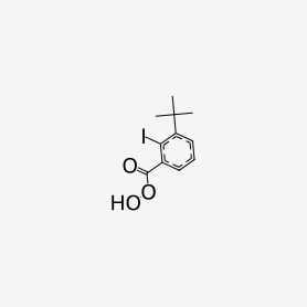 CC(C)(C)c1cccc(C(=O)OO)c1I